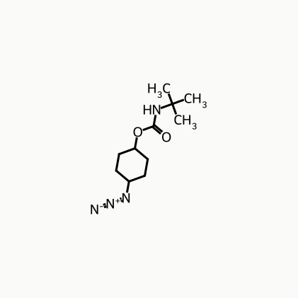 CC(C)(C)NC(=O)OC1CCC(N=[N+]=[N-])CC1